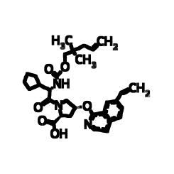 C=CCC(C)(C)COC(=O)N[C@H](C(=O)N1C[C@H](Oc2nccc3ccc(C=C)cc23)C[C@H]1C(=O)O)C1CCCC1